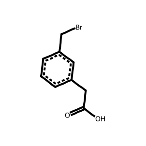 O=C(O)Cc1cccc(CBr)c1